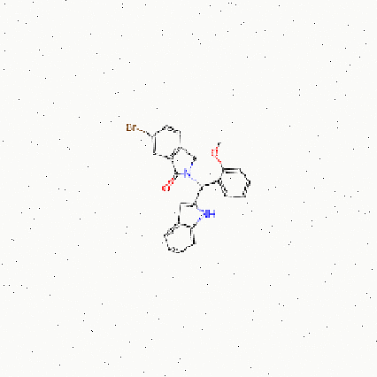 COc1ccccc1[C@H](c1cc2ccccc2[nH]1)N1Cc2ccc(Br)cc2C1=O